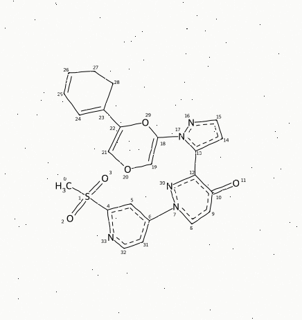 CS(=O)(=O)c1cc(-n2ccc(=O)c(-c3ccnn3C3=COC=C(C4=CC=CCC4)O3)n2)ccn1